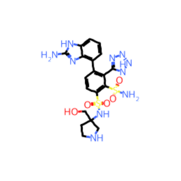 Nc1nc2c(-c3ccc(S(=O)(=O)NC4(CO)CCNC4)c(S(N)(=O)=O)c3-c3nnn[nH]3)cccc2[nH]1